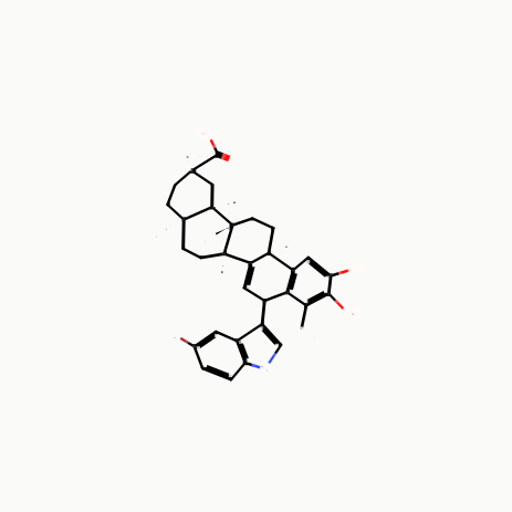 Cc1c(O)c(O)cc2c1C(c1c[nH]c3ccc(Br)cc13)C=C1[C@@]2(C)CC[C@@]2(C)[C@@H]3C[C@](C)(C(=O)O)CC[C@]3(C)CC[C@]12C